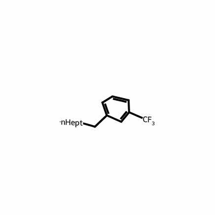 CCCCCC[CH]Cc1cccc(C(F)(F)F)c1